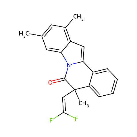 Cc1cc(C)c2cc3n(c2c1)C(=O)C(C)(C=C(F)F)c1ccccc1-3